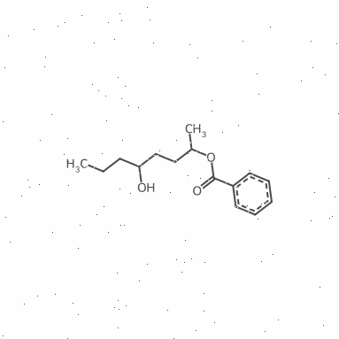 CCCC(O)CCC(C)OC(=O)c1[c]cccc1